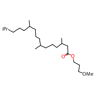 COCCCOC(=O)CC(C)CCCC(C)CCCC(C)CCCC(C)C